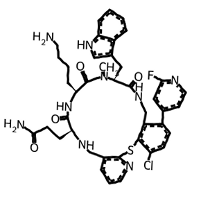 CN1C(=O)[C@H](CCCCN)NC(=O)[C@H](CCC(N)=O)NCc2cccnc2Sc2c(Cl)ccc(-c3ccnc(F)c3)c2CNC(=O)[C@@H]1Cc1c[nH]c2ccccc12